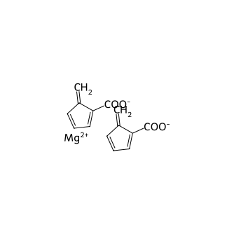 C=C1C=CC=C1C(=O)[O-].C=C1C=CC=C1C(=O)[O-].[Mg+2]